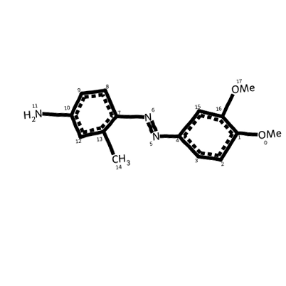 COc1ccc(/N=N/c2ccc(N)cc2C)cc1OC